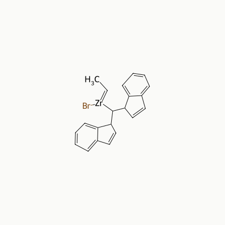 C[CH]=[Zr]([Br])[CH](C1C=Cc2ccccc21)C1C=Cc2ccccc21